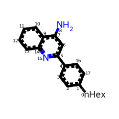 CCCCCCc1ccc(-c2cc(N)c3ccccc3n2)cc1